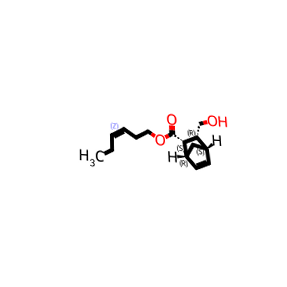 CC/C=C\CCOC(=O)[C@@H]1[C@H](CO)[C@@H]2C=C[C@H]1C2